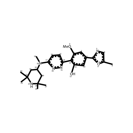 COc1cc(-c2ncc(C)o2)cc(O)c1-c1ccc(N(C)C2CC(C)(C)NC(C)(C)C2)nn1